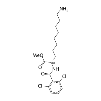 COC(=O)[C@H](CCCCCCCCN)NC(=O)c1c(Cl)cccc1Cl